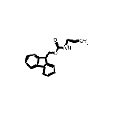 C=C=CNC(=O)OCC1c2ccccc2-c2ccccc21